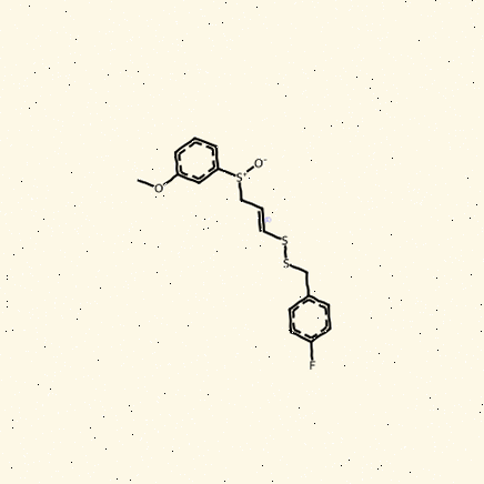 COc1cccc([S+]([O-])C/C=C/SSCc2ccc(F)cc2)c1